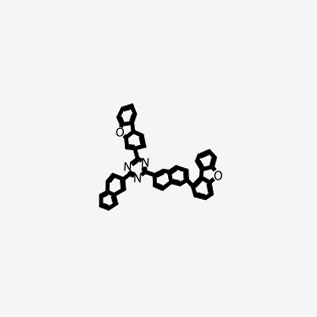 C1=CC2c3ccccc3OC2C=C1c1nc(-c2ccc3ccccc3c2)nc(-c2ccc3cc(-c4cccc5oc6ccccc6c45)ccc3c2)n1